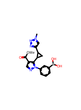 COC(=O)c1cnn(-c2cccc(B(O)O)c2)c1C1CC1c1cn(C)nn1